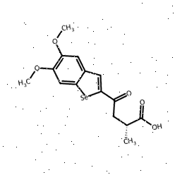 COc1cc2cc(C(=O)C[C@@H](C)C(=O)O)[se]c2cc1OC